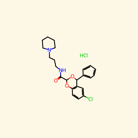 Cl.O=C(NCCCN1CCCCC1)C1Oc2ccc(Cl)cc2C(c2ccccc2)O1